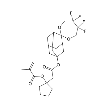 C=C(C)C(=O)OC1(CC(=O)OC23CC4CC(C2)C2(OCC(F)(F)C(F)(F)CO2)C(C4)C3)CCCC1